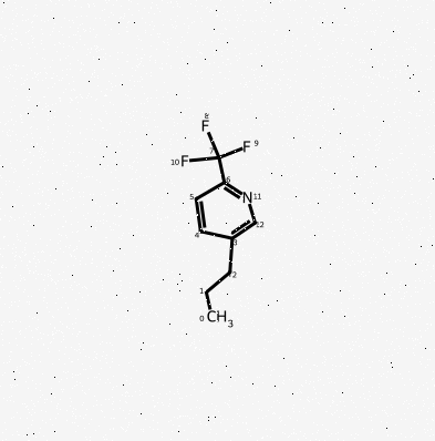 CC[CH]c1ccc(C(F)(F)F)nc1